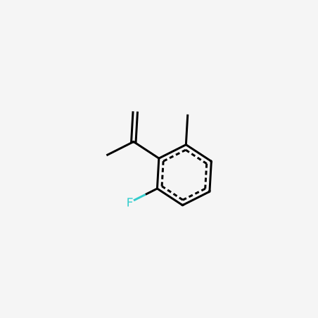 C=C(C)c1c(C)cccc1F